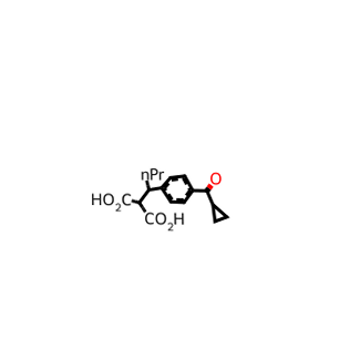 CCCC(c1ccc(C(=O)C2CC2)cc1)C(C(=O)O)C(=O)O